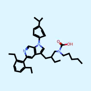 CCCCCN(CC(CC)Cc1cn(-c2ccc(C(C)C)cc2)c2cnc(-c3c(CC)cccc3CC)cc12)C(=O)O